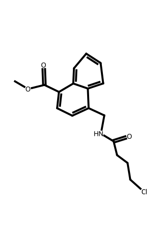 COC(=O)c1ccc(CNC(=O)CCCCl)c2ccccc12